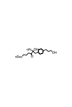 CCCCCCCCCCCCCC(=O)C(O)(CCC)Cc1ccc(CCCO)cc1